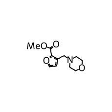 COC(=O)c1occc1CN1CCOCC1